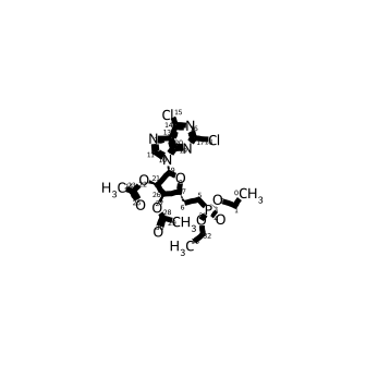 CCOP(=O)(CC[C@H]1O[C@@H](n2cnc3c(Cl)nc(Cl)nc32)[C@H](OC(C)=O)[C@@H]1OC(C)=O)OCC